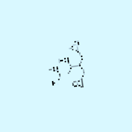 CCC(O)CC(O)C(CC1CO1)CC1CO1